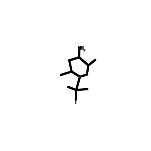 CC1CN(C(C)(C)I)C(C)CC1N